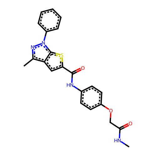 CNC(=O)COc1ccc(NC(=O)c2cc3c(C)nn(-c4ccccc4)c3s2)cc1